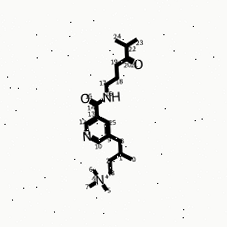 CC(CC[N+](C)(C)C)Cc1cncc(C(=O)NCCCC(=O)C(C)C)c1